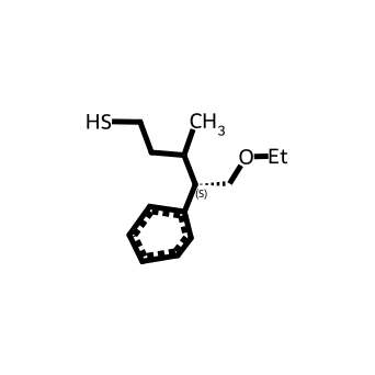 CCOC[C@H](c1ccccc1)C(C)CCS